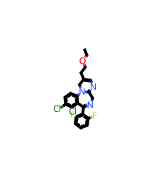 CCOCCC1=CN=C2CN=C(c3c(F)cccc3F)c3c(ccc(Cl)c3Cl)N2C1